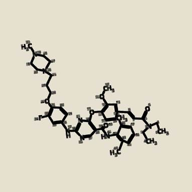 CCN(CC)C(=O)C=Cc1ccc(Oc2nc(Nc3ccc(OCCCN4CCN(C)CC4)c(F)c3)ncc2C(=O)Nc2c(C)cccc2C)c(OC)c1